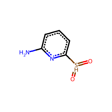 Nc1cccc([SH](=O)=O)n1